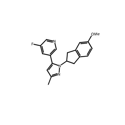 COc1ccc2c(c1)CC(n1nc(C)cc1-c1cncc(F)c1)C2